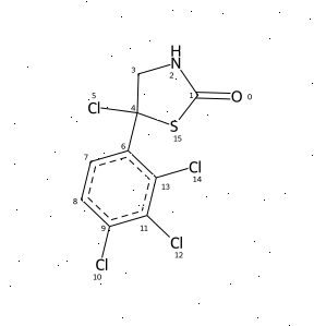 O=C1NCC(Cl)(c2ccc(Cl)c(Cl)c2Cl)S1